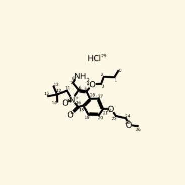 CCCCOC1=C(CN)[N+]([O-])(CC(C)(C)C)C(=O)c2ccc(OCCOC)cc21.Cl